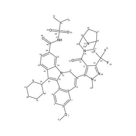 COc1ccc2c(c1)C=C(c1c(C(=O)N3CC4CCC(C3)N4C)c(C(F)(F)F)nn1C)Cn1c-2c(C2CCCCC2)c2ccc(C(=O)NS(=O)(=O)C(C)C)cc21